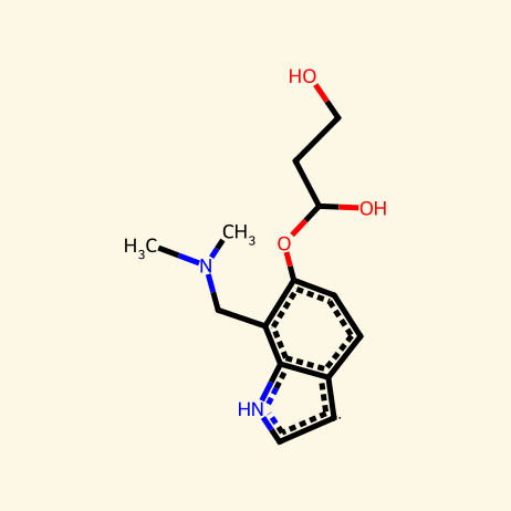 CN(C)Cc1c(OC(O)CCO)ccc2[c]c[nH]c12